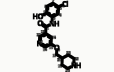 O=C(Nc1cc(Cl)ccc1O)c1cncc(OCC2CCNCC2)c1